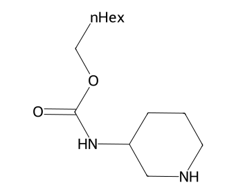 CCCCCCCOC(=O)NC1CCCNC1